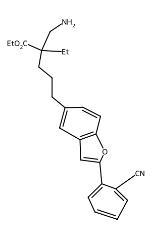 CCOC(=O)C(CC)(CN)CCCc1ccc2oc(-c3ccccc3C#N)cc2c1